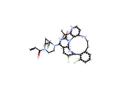 C=CC(=O)N1CCN(c2nc(=O)n3c4nc(c(F)cc24)-c2c(F)cccc2CCNc2ccnc(C(C)C)c2-3)[C@H]2C[C@H]21